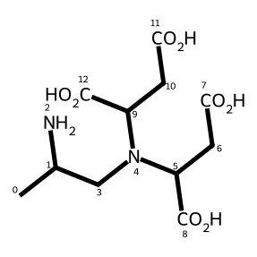 CC(N)CN(C(CC(=O)O)C(=O)O)C(CC(=O)O)C(=O)O